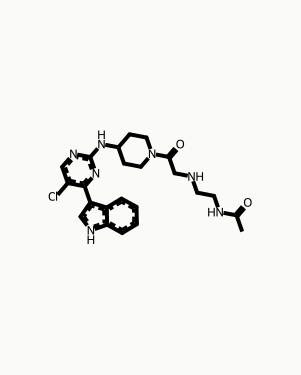 CC(=O)NCCNCC(=O)N1CCC(Nc2ncc(Cl)c(-c3c[nH]c4ccccc34)n2)CC1